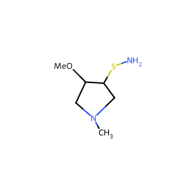 COC1CN(C)CC1SN